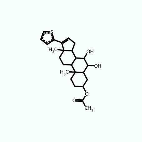 CC(=O)OC1CCC2(C)C(C1)C(O)C(O)C1C3CC=C(c4cccs4)C3(C)CCC12